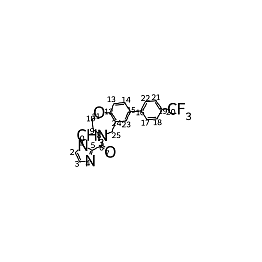 Cn1ccnc1C(=O)N1CCOc2ccc(-c3ccc(C(F)(F)F)cc3)cc2C1